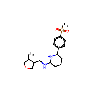 CC1COCC1CNC1CCCC(c2ccc(S(C)(=O)=O)cc2)N1